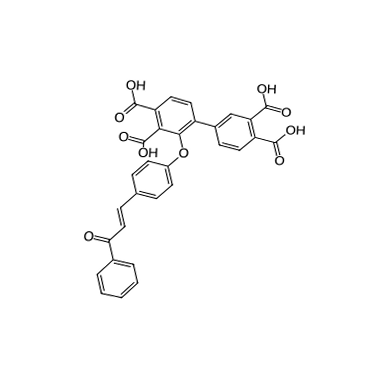 O=C(C=Cc1ccc(Oc2c(-c3ccc(C(=O)O)c(C(=O)O)c3)ccc(C(=O)O)c2C(=O)O)cc1)c1ccccc1